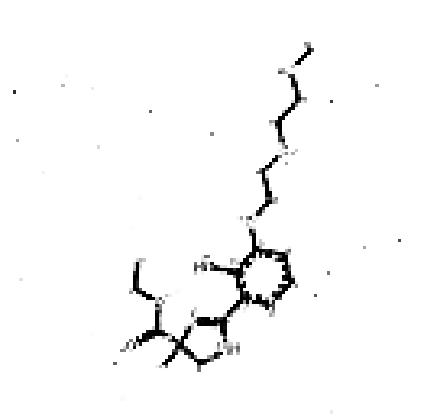 CCOC(=O)C1(C)CNC(c2nccc(OCCOCCOC)c2O)=N1